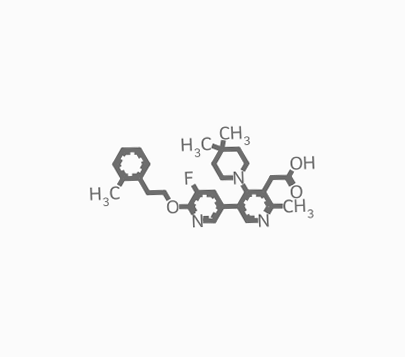 Cc1ccccc1CCOc1ncc(-c2cnc(C)c(CC(=O)O)c2N2CCC(C)(C)CC2)cc1F